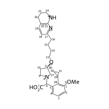 COc1cccc(C(C(=O)O)N2CC[C@@H](OCCCCc3ccc4c(n3)NCCC4)C2)c1C1CC1